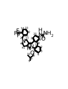 Cc1cccc(OCC(C)C)c1-n1nc2c(c1-c1ccc(NC(N)=O)cc1)CN(Cc1ccccc1C(F)(F)F)CC2